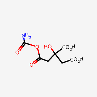 NC(=O)OC(=O)CC(O)(CC(=O)O)C(=O)O